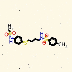 Cc1ccc(S(=O)(=O)NCCCCSc2ccc(NS(C)(=O)=O)cc2)cc1